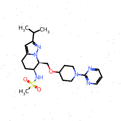 CC(C)c1cc2n(n1)[C@@H](COC1CCN(c3ncccn3)CC1)[C@@H](NS(C)(=O)=O)CC2